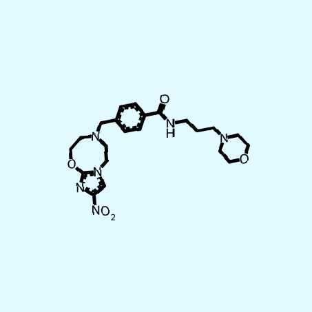 O=C(NCCCN1CCOCC1)c1ccc(CN2CCOc3nc([N+](=O)[O-])cn3CC2)cc1